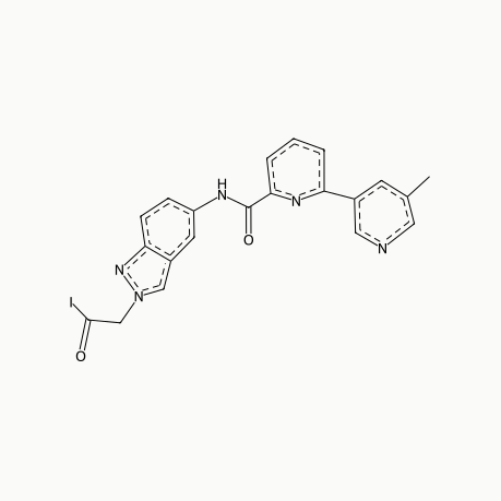 Cc1cncc(-c2cccc(C(=O)Nc3ccc4nn(CC(=O)I)cc4c3)n2)c1